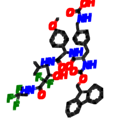 COc1ccc(C(NC(=O)C(Cc2ccc(CNC(=O)O)cc2)NC(=O)OCC2c3ccccc3-c3ccccc32)C(=O)NC(C(C)C)C(O)C(F)(F)C(=O)NCC(F)(F)F)cc1